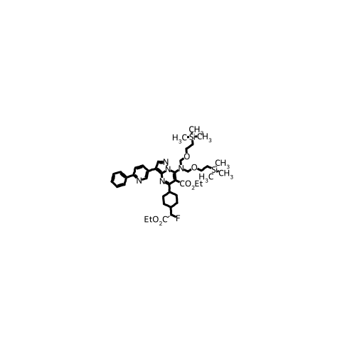 CCOC(=O)c1c(C2CCC([C@H](F)C(=O)OCC)CC2)nc2c(-c3ccc(-c4ccccc4)nc3)cnn2c1N(COCC[Si](C)(C)C)COCC[Si](C)(C)C